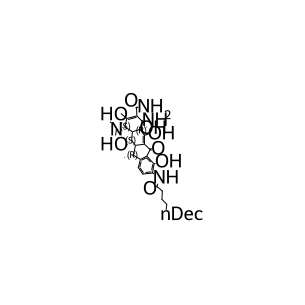 CCCCCCCCCCCCCC(=O)Nc1ccc2c(c1O)C(=O)C1=C(O)[C@]3(O)C(=N)C(C(N)=O)=C(O)[C@@H](N(C)C)C3[C@@H](O)C1[C@H]2C